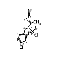 CC(=NC#N)N(Cc1ccc(Cl)nc1)C(Cl)(Cl)Cl